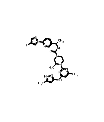 Cc1cc(Nc2cc(C)[nH]n2)nc(N2CCN(C(=O)N[C@@H](C)c3ccc(-n4cc(F)cn4)nc3)C[C@@H]2C)n1